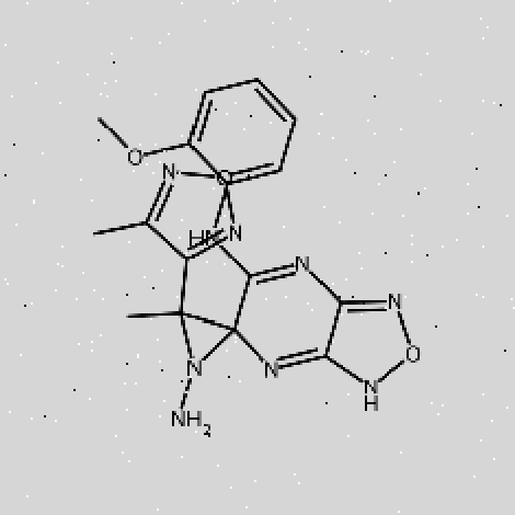 COc1ccccc1NC1=NC2=NONC2=NC12N(N)C2(C)c1nonc1C